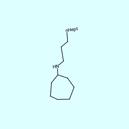 CCCCCCCCCCNC1CCCCCC1